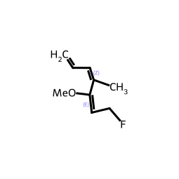 C=C/C=C(C)\C(=C/CF)OC